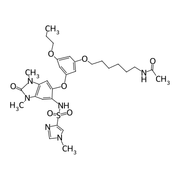 CCCOc1cc(OCCCCCCNC(C)=O)cc(Oc2cc3c(cc2NS(=O)(=O)c2cn(C)cn2)n(C)c(=O)n3C)c1